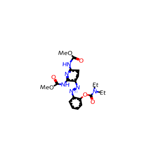 CCN(CC)C(=O)Oc1ccccc1/N=N/c1ccc(NC(=O)OC)nc1NC(=O)OC